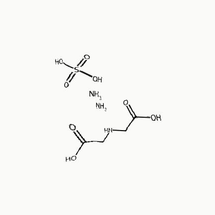 N.N.O=C(O)CNCC(=O)O.O=S(=O)(O)O